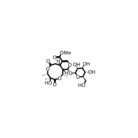 COC(=O)C1=CO[C@@H](O[C@@H]2O[C@H](CO)[C@@H](O)[C@H](O)[C@H]2O)[C@@H]2[C@H](C)OC(=O)[C@@](C)(O)[C@H](C)OC(=O)C[C@H]12